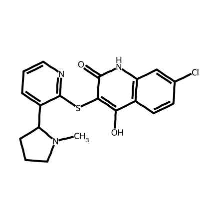 CN1CCCC1c1cccnc1Sc1c(O)c2ccc(Cl)cc2[nH]c1=O